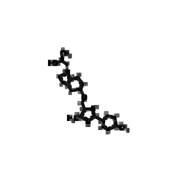 C=C(O)Cn1ccc2cc(OCc3sc(-c4ccc(C(F)(F)F)cc4)nc3C)ccc21